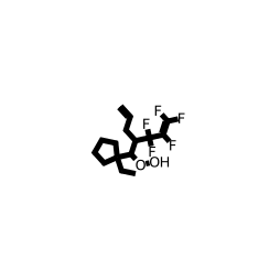 C=CCC(C(OO)C1(CC)CCCC1)C(F)(F)C(F)=C(F)F